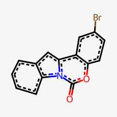 O=c1oc2ccc(Br)cc2c2cc3ccccc3n12